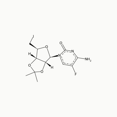 CC1(C)O[C@@H]2[C@H](O1)[C@@H](CI)O[C@H]2n1cc(F)c(N)nc1=O